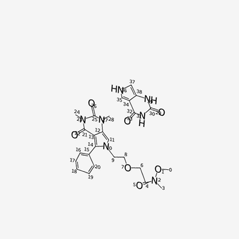 CON(C)C(=O)COCCn1cc2c(c1-c1ccccc1)c(=O)n(C)c(=O)n2C.O=c1[nH]c(=O)c2c[nH]cc2[nH]1